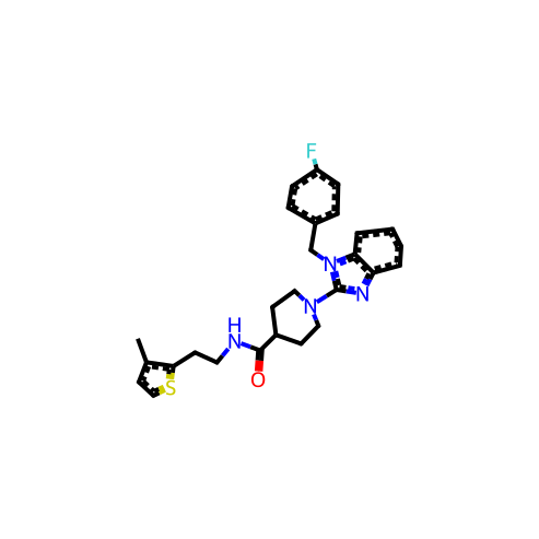 Cc1ccsc1CCNC(=O)C1CCN(c2nc3ccccc3n2Cc2ccc(F)cc2)CC1